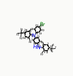 Cc1cc(C(C)(C)C)cc(C)c1Nc1ccc(N(c2ccc(Br)cc2)c2c(C)cc(C(C)(C)C)cc2C)cc1